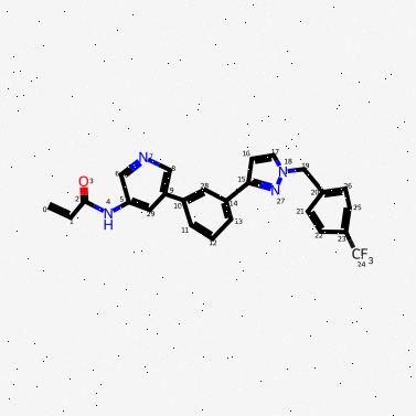 C=CC(=O)Nc1cncc(-c2cccc(-c3ccn(Cc4ccc(C(F)(F)F)cc4)n3)c2)c1